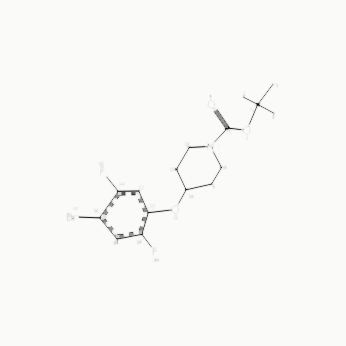 CC(C)(C)OC(=O)N1CCC(Oc2cc(F)c(Br)cc2F)CC1